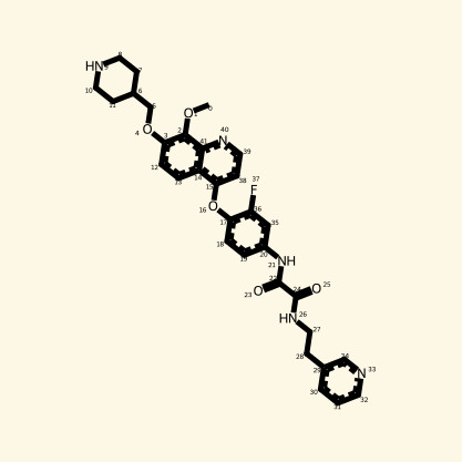 COc1c(OCC2CCNCC2)ccc2c(Oc3ccc(NC(=O)C(=O)NCCc4cccnc4)cc3F)ccnc12